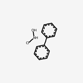 ONCl.c1ccc(-c2ccccc2)cc1